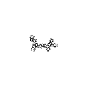 c1ccc(C2=NC(c3ccc4c(c3)sc3ccc(-c5ccccc5-c5ccc6c7ccccc7n(-c7ccccc7)c6c5)cc34)=NC(c3ccc4c(c3)oc3ccccc34)N2)cc1